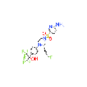 Nc1ccc(S(=O)(=O)N2CCN(c3ccc(C(O)(C(F)(F)F)C(F)(F)F)cc3)[C@H](C#CCF)C2)cn1